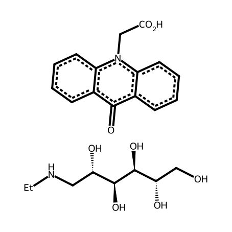 CCNC[C@H](O)[C@H](O)[C@@H](O)[C@@H](O)CO.O=C(O)Cn1c2ccccc2c(=O)c2ccccc21